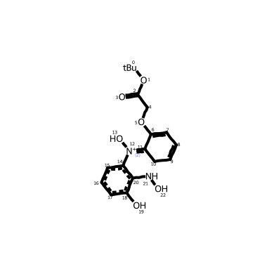 CC(C)(C)OC(=O)COC1=CC=CC/C1=[N+](/O)c1cccc(O)c1NO